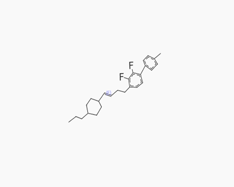 CCCC1CCC(/C=C/CCc2ccc(-c3ccc(C)cc3)c(F)c2F)CC1